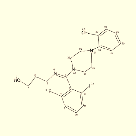 OCCC/N=C(\c1c(F)cccc1I)N1CCN(c2ccccc2Cl)CC1